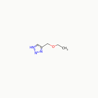 CCOCc1c[nH]nn1